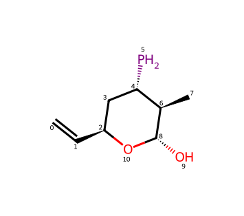 C=C[C@H]1C[C@H](P)[C@@H](C)[C@H](O)O1